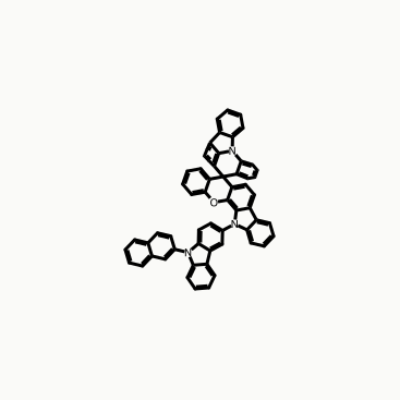 c1ccc2c(c1)Oc1c(ccc3c4ccccc4n(-c4ccc5c(c4)c4ccccc4n5-c4ccc5ccccc5c4)c13)C21c2ccccc2-n2c3ccccc3c3cccc1c32